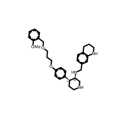 COc1ccccc1COCCCOc1ccc([C@@H]2CCNC[C@@H]2NCc2ccc3c(c2)NCCC3)cc1